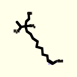 CCCCCCCC/C=C\CCCCCCCCC(N)(CCO)C(C)N